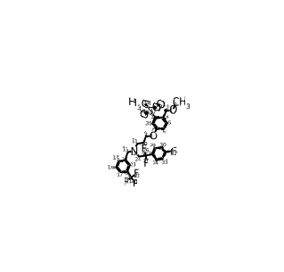 COC(=O)c1ccc(OCCCN(Cc2cccc(C(F)(F)F)c2)CC(F)(F)c2ccc(F)cc2)cc1S(C)(=O)=O